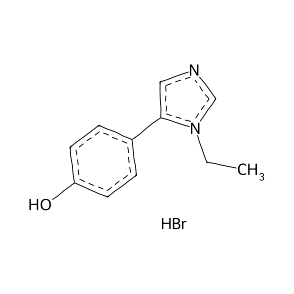 Br.CCn1cncc1-c1ccc(O)cc1